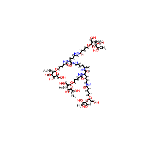 CC(=O)NC1C(OCCCCC(=O)NC(CCCCNC(=O)CCCCOC(OC(CO)[C@@H](C)O)[C@H](CO)NC(C)=O)C(=O)NCCCCC(NC(=O)C(CCCCNC(=O)CCCCOC(OC(CO)[C@@H](C)O)[C@H](CO)NC(C)=O)NC(=O)CCCCOC(OC(CO)[C@@H](C)O)[C@H](CO)NC(C)=O)C(C)=O)OC(CO)C(O)C1O